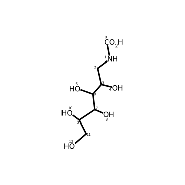 O=C(O)NCC(O)C(O)C(O)C(O)CO